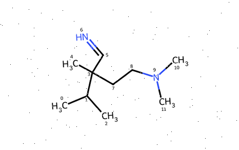 CC(C)C(C)(C=N)CCN(C)C